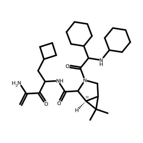 C=C(N)C(=O)C(CC1CCC1)NC(=O)C1[C@H]2C(CN1C(=O)C(NC1CCCCC1)C1CCCCC1)C2(C)C